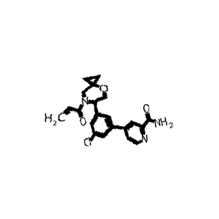 C=CC(=O)N1CC2(CC2)OCC1c1cc(Cl)cc(-c2ccnc(C(N)=O)c2)c1